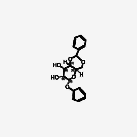 O[C@@H]1[C@@H](O)[C@@H](Oc2ccccc2)O[C@@H]2COC(c3ccccc3)O[C@@H]12